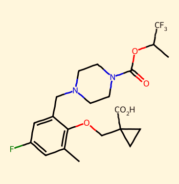 Cc1cc(F)cc(CN2CCN(C(=O)OC(C)C(F)(F)F)CC2)c1OCC1(C(=O)O)CC1